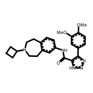 COc1ccc(-c2nn[nH]c2C(=O)Nc2ccc3c(c2)CCN(C2CCC2)CC3)cc1OC